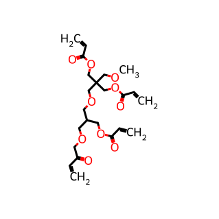 C=CC(=O)COCC(COCC(COC)(COC(=O)C=C)COC(=O)C=C)COC(=O)C=C